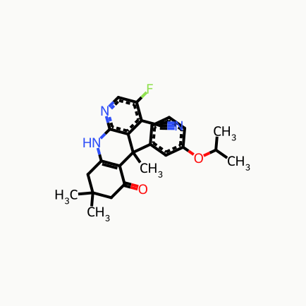 CC(C)Oc1cccc(C2(C)C3=C(CC(C)(C)CC3=O)Nc3ncc(F)c(C#N)c32)c1